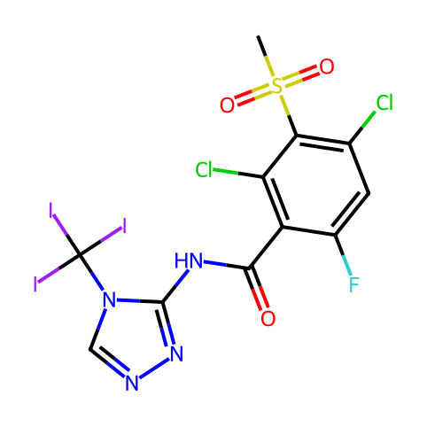 CS(=O)(=O)c1c(Cl)cc(F)c(C(=O)Nc2nncn2C(I)(I)I)c1Cl